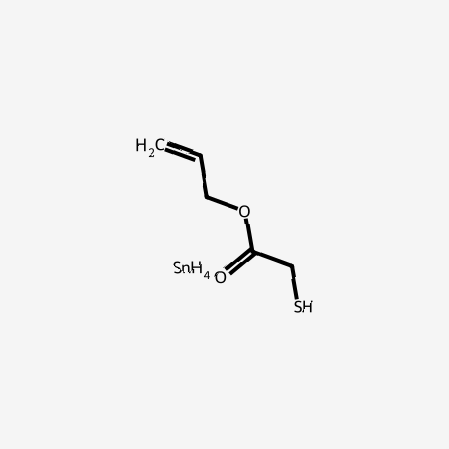 C=CCOC(=O)CS.[SnH4]